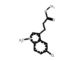 COC(=O)CCc1cn(C)c2ccc(Cl)cc12